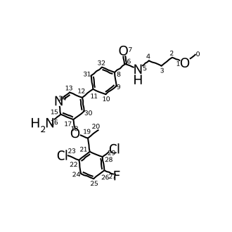 COCCCNC(=O)c1ccc(-c2cnc(N)c(OC(C)c3c(Cl)ccc(F)c3Cl)c2)cc1